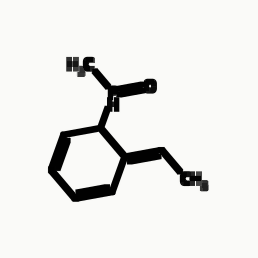 CC=C1C=CC=CC1[PH](C)=O